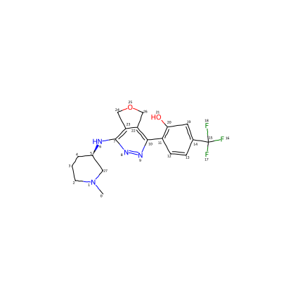 CN1CCC[C@@H](Nc2nnc(-c3ccc(C(F)(F)F)cc3O)c3c2COC3)C1